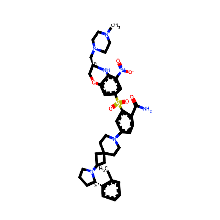 Cc1ccccc1[C@@H]1CCCN1C1CC2(CCN(c3ccc(C(N)=O)c(S(=O)(=O)c4cc5c(c([N+](=O)[O-])c4)N[C@H](CN4CCN(C)CC4)CO5)c3)CC2)C1